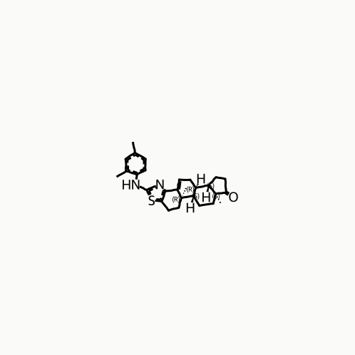 Cc1ccc(Nc2nc3c(s2)CC[C@@]2(C)C3=CC[C@@H]3[C@@H]2CC[C@]2(C)C(=O)CC[C@@H]32)c(C)c1